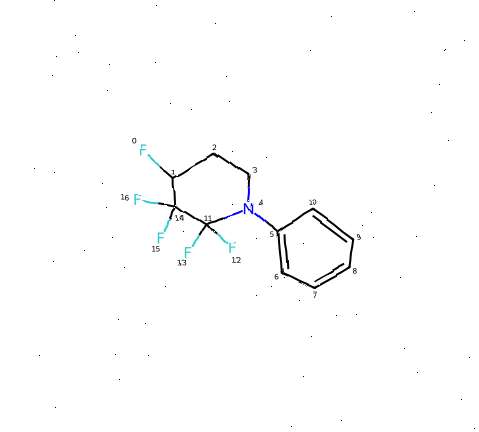 FC1CCN(c2ccccc2)C(F)(F)C1(F)F